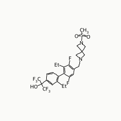 CCc1cc(C(O)(C(F)(F)F)C(F)(F)F)ccc1-c1c(F)cc(CN2CC3(C2)CN(S(C)(=O)=O)C3)c(F)c1CC